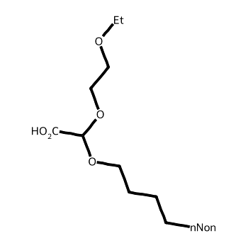 CCCCCCCCCCCCCOC(OCCOCC)C(=O)O